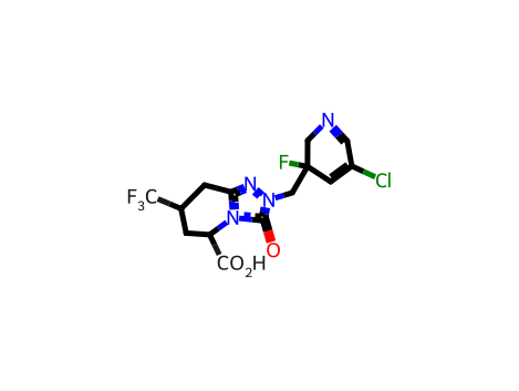 O=C(O)C1CC(C(F)(F)F)Cc2nn(CC3(F)C=C(Cl)C=NC3)c(=O)n21